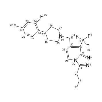 CCCc1nnc2c(C(F)(F)F)c(CN3CCC(c4ccc(F)cc4F)CC3)ccn12